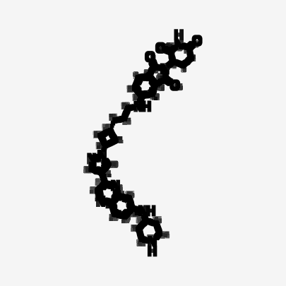 O=C1CCC(N2C(=O)c3ccc(NCCC[C@H]4C[C@H](n5cc(-c6cnc7ccc(NC8CCNCC8)cc7n6)cn5)C4)cc3C2=O)C(=O)N1